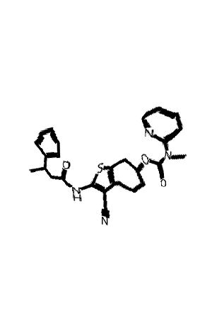 CC(CC(=O)Nc1sc2c(c1C#N)CCC(OC(=O)N(C)c1ccccn1)C2)c1ccccc1